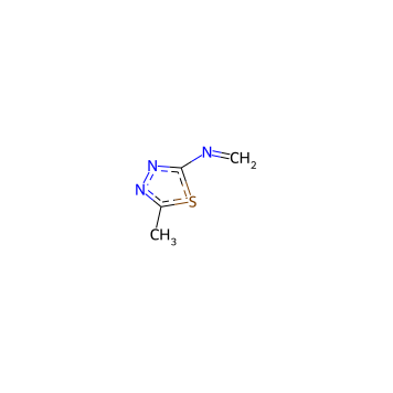 C=Nc1nnc(C)s1